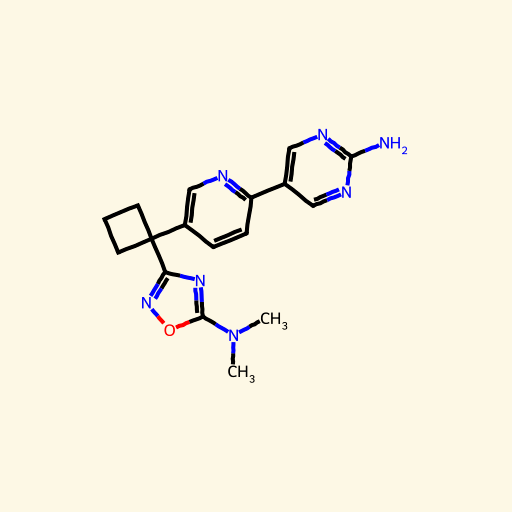 CN(C)c1nc(C2(c3ccc(-c4cnc(N)nc4)nc3)CCC2)no1